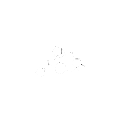 CC1(CC2CCN(C(=O)[C@H]3CCCO3)CC2)SC(N[C@H]2C[C@@H]3CCC2C3)=NC1=O